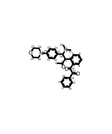 CC(=O)C(c1ccccc1C(=O)C(=O)c1ccccc1)C(c1ccc(N2CCOCC2)cc1)N(C)C